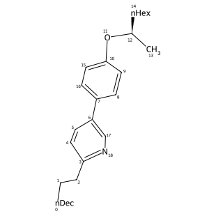 CCCCCCCCCCCCc1ccc(-c2ccc(O[C@H](C)CCCCCC)cc2)cn1